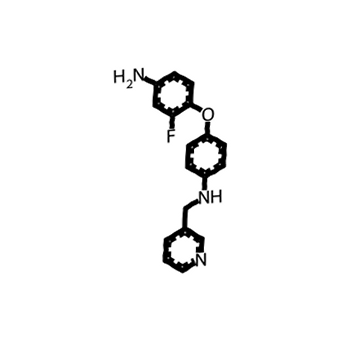 Nc1ccc(Oc2ccc(NCc3cccnc3)cc2)c(F)c1